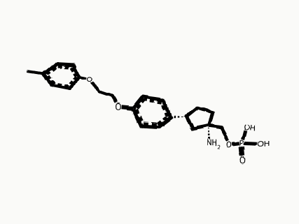 Cc1ccc(OCCOc2ccc([C@@H]3CC[C@@](N)(COP(=O)(O)O)C3)cc2)cc1